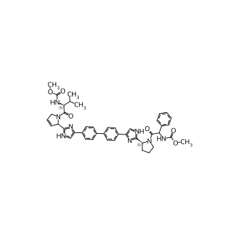 COC(=O)NC(C(=O)N1CCC[C@H]1c1nc(-c2ccc(-c3ccc(-c4c[nH]c(C5C=CCN5C(=O)[C@@H](NC(=O)OC)C(C)C)n4)cc3)cc2)c[nH]1)c1ccccc1